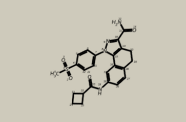 CS(=O)(=O)c1ccc(-n2nc(C(N)=O)c3c2-c2cc(NC(=O)C4CCC4)ccc2CC3)cc1